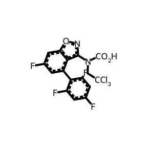 O=C(O)N(CC(Cl)(Cl)Cl)c1noc2cc(F)cc(-c3c(F)cc(F)cc3F)c12